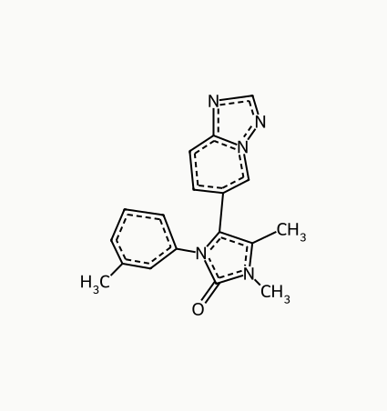 Cc1cccc(-n2c(-c3ccc4ncnn4c3)c(C)n(C)c2=O)c1